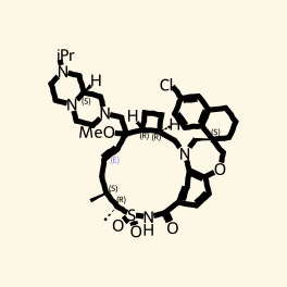 COC1(CN2CCN3CCN(C(C)C)C[C@@H]3C2)/C=C/C[C@H](C)[C@@H](C)S(=O)(=O)NC(=O)c2ccc3c(c2)N(C[C@@H]2CC[C@H]21)C[C@@]1(CCCc2cc(Cl)ccc21)CO3